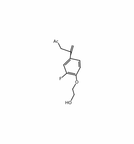 C=C(CC(C)=O)c1ccc(OCCO)c(F)c1